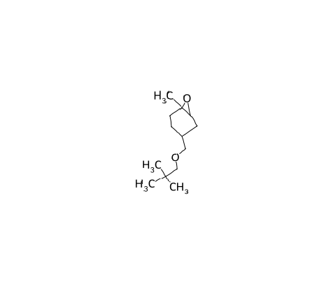 CC(C)(C)COCC1CCC2(C)OC2C1